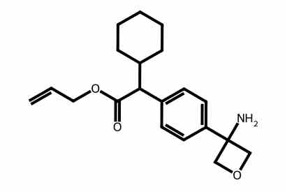 C=CCOC(=O)C(c1ccc(C2(N)COC2)cc1)C1CCCCC1